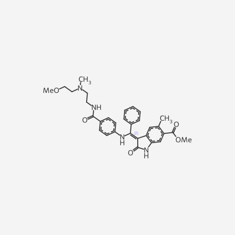 COCCN(C)CCNC(=O)c1ccc(N/C(=C2\C(=O)Nc3cc(C(=O)OC)c(C)cc32)c2ccccc2)cc1